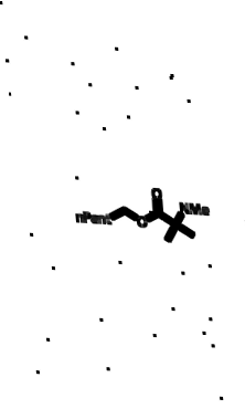 CCCCCCOC(=O)C(C)(C)NC